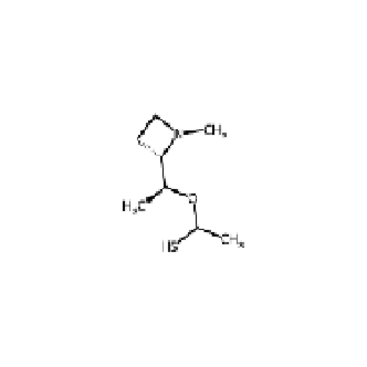 CC(S)O[C@@H](C)[C@@H]1CCN1C